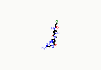 CN(CCC(=N)N)C(=O)c1cc(N(C)C(=O)c2cc(NC(=O)CCCl)c[nH]2)c[nH]1